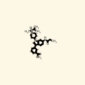 CCC(=O)Nc1ccc2c(-c3cccc(C(N)=S)c3)cn(C3CCN([SH](C)(=O)C(C)C)CC3)c2c1